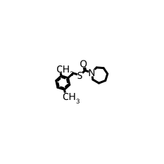 Cc1ccc(C)c(CSC(=O)N2CCCCCC2)c1